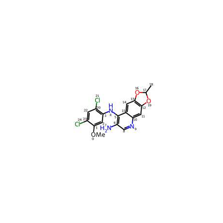 COc1cc(Nc2c(N)cnc3cc4c(cc23)OC(C)O4)c(Cl)cc1Cl